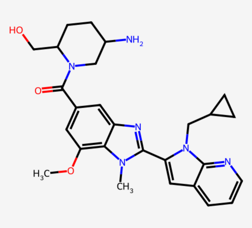 COc1cc(C(=O)N2CC(N)CCC2CO)cc2nc(-c3cc4cccnc4n3CC3CC3)n(C)c12